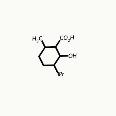 CC(C)C1CCC(C)C(C(=O)O)C1O